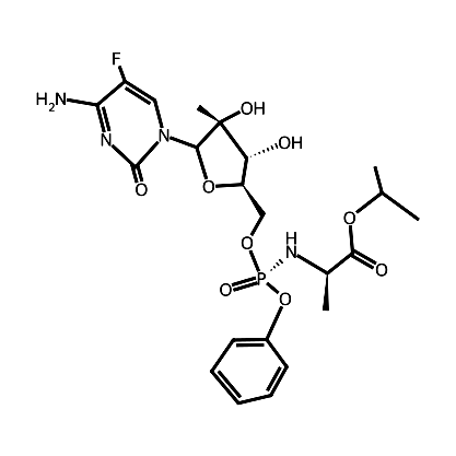 CC(C)OC(=O)[C@@H](C)N[P@](=O)(OC[C@H]1OC(n2cc(F)c(N)nc2=O)[C@](C)(O)[C@@H]1O)Oc1ccccc1